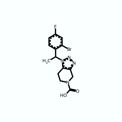 CC(c1ccc(F)cc1Br)n1nnc2c1CCN(C(=O)O)C2